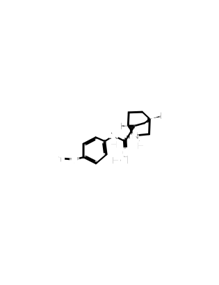 CC(C)Oc1ccc(NC(=O)[C@@H]2C[C@@H]3CC[C@H]2NC3)cc1.Cl